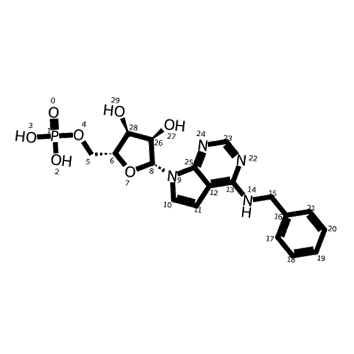 O=P(O)(O)OC[C@H]1O[C@@H](n2ccc3c(NCc4ccccc4)ncnc32)[C@H](O)[C@@H]1O